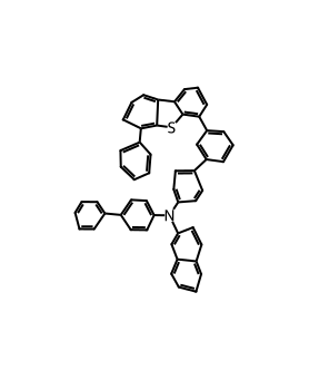 c1ccc(-c2ccc(N(c3ccc(-c4cccc(-c5cccc6c5sc5c(-c7ccccc7)cccc56)c4)cc3)c3ccc4ccccc4c3)cc2)cc1